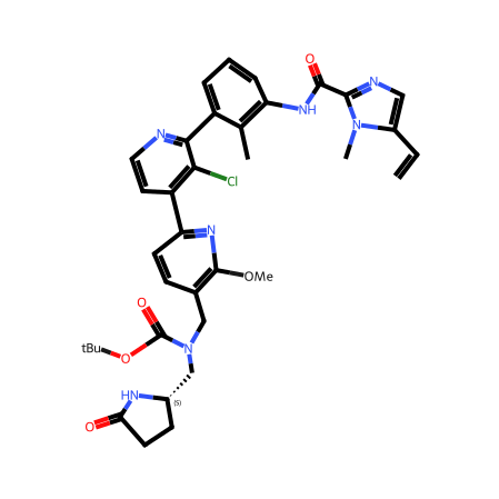 C=Cc1cnc(C(=O)Nc2cccc(-c3nccc(-c4ccc(CN(C[C@@H]5CCC(=O)N5)C(=O)OC(C)(C)C)c(OC)n4)c3Cl)c2C)n1C